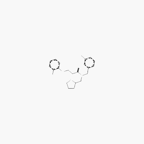 Cc1cccc(CN(CC2CCCN2)C(=O)CCOc2ccccc2Cl)c1